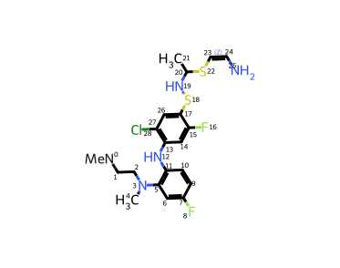 CNCCN(C)c1cc(F)ccc1Nc1cc(F)c(SNC(C)S/C=C\N)cc1Cl